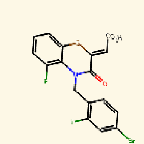 O=C(O)/C=C1\Sc2cccc(F)c2N(Cc2ccc(Br)cc2F)C1=O